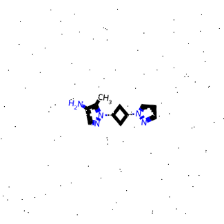 Cc1c(N)cnn1[C@H]1C[C@@H](n2cccn2)C1